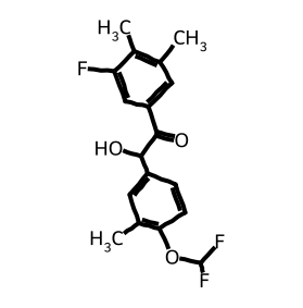 Cc1cc(C(O)C(=O)c2cc(C)c(C)c(F)c2)ccc1OC(F)F